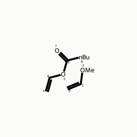 C=COC.C=COC(=O)CCCC